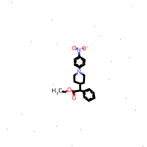 CCOC(=O)C(c1ccccc1)C1CCN(c2ccc([N+](=O)[O-])cc2)CC1